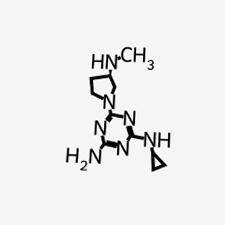 CN[C@@H]1CCN(c2nc(N)nc(NC3CC3)n2)C1